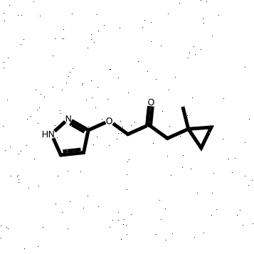 CC1(CC(=O)COc2cc[nH]n2)CC1